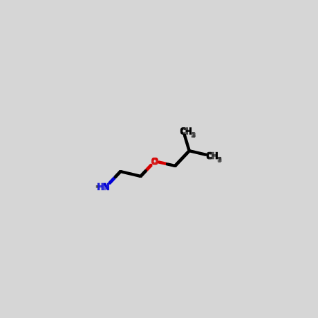 CC(C)COCC[NH]